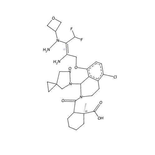 C[C@]1(C(=O)O)CCCCC1C(=O)N1CCc2c(Cl)ccc(OC/C(N)=C(\C(F)F)N(N)C3COC3)c2C1N1CC2(CC2)CC1=O